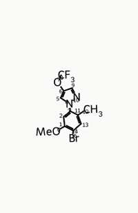 COc1cc(-n2cc(OC(F)(F)F)cn2)c(C)cc1Br